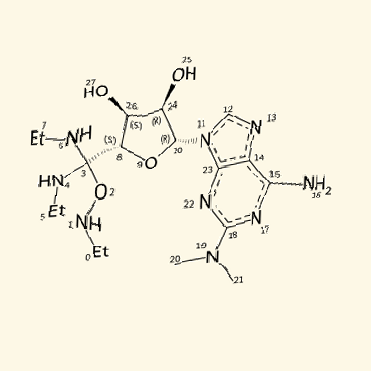 CCNOC(NCC)(NCC)[C@H]1O[C@@H](n2cnc3c(N)nc(N(C)C)nc32)[C@H](O)[C@@H]1O